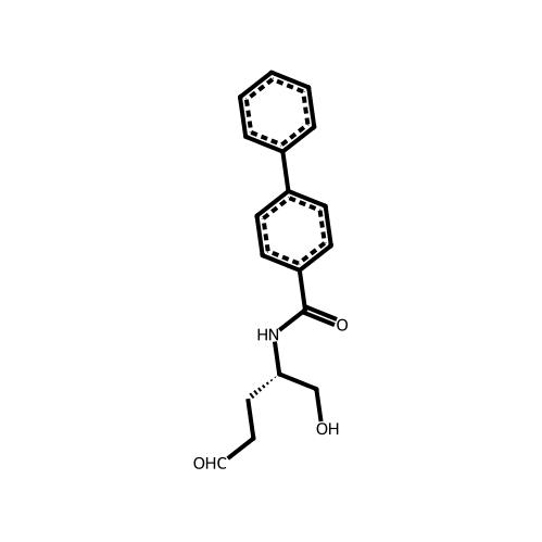 O=CCC[C@@H](CO)NC(=O)c1ccc(-c2ccccc2)cc1